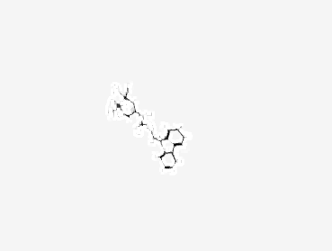 O=PC(F)(F)CC(CO)NC(=O)OCC1c2ccccc2-c2ccccc21